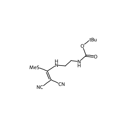 CSC(NCCNC(=O)OC(C)(C)C)=C(C#N)C#N